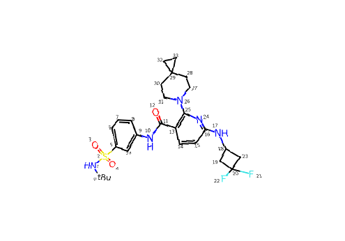 CC(C)(C)NS(=O)(=O)c1cccc(NC(=O)c2ccc(NC3CC(F)(F)C3)nc2N2CCC3(CC2)CC3)c1